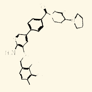 Cc1ccc(COc2cc(-c3ccc(C(=O)N4CCC(N5CCCC5)CC4)cc3)cnc2N)c(F)c1F